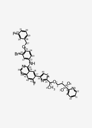 CC(OCCS(=O)(=O)c1ccccn1)c1nc(-c2cc3c(Nc4ccc(OCc5cccc(F)c5)c(Br)c4)ncnc3cc2F)cs1